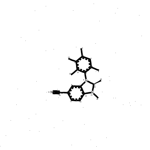 Cc1cc(C)c(N2c3cc(C#N)ccc3N(C)[C@@H]2C)c(C)c1C